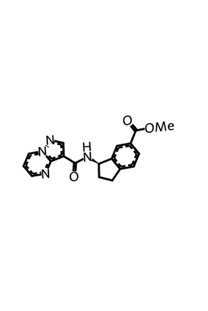 COC(=O)c1ccc2c(c1)[C@H](NC(=O)c1cnn3cccnc13)CC2